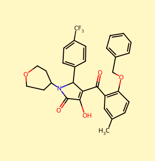 Cc1ccc(OCc2ccccc2)c(C(=O)C2=C(O)C(=O)N(C3CCOCC3)C2c2ccc(C(F)(F)F)cc2)c1